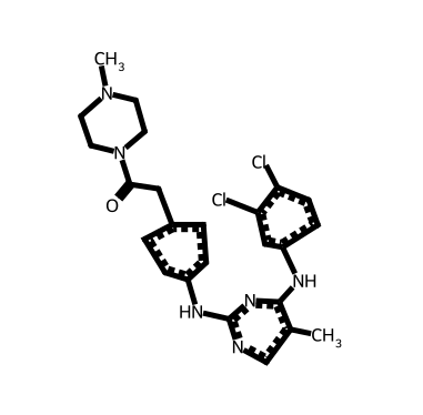 Cc1cnc(Nc2ccc(CC(=O)N3CCN(C)CC3)cc2)nc1Nc1ccc(Cl)c(Cl)c1